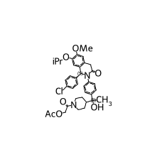 COc1cc2c(cc1OC(C)C)[C@H](c1ccc(Cl)cc1)N(c1ccc([C@](C)(O)C3CCN(C(=O)COC(C)=O)CC3)cc1)C(=O)C2